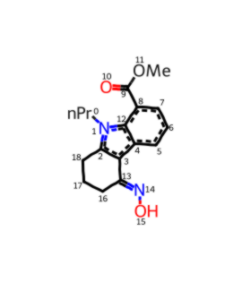 CCCn1c2c(c3cccc(C(=O)OC)c31)C(=NO)CCC2